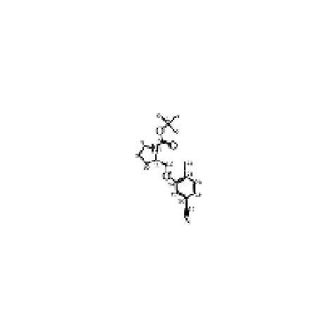 CC(C)(C)OC(=O)N1CCC[C@@H]1COc1cc(C#N)ccc1I